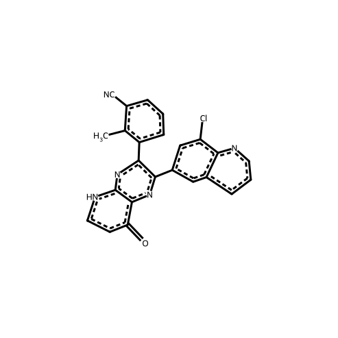 Cc1c(C#N)cccc1-c1nc2[nH]ccc(=O)c2nc1-c1cc(Cl)c2ncccc2c1